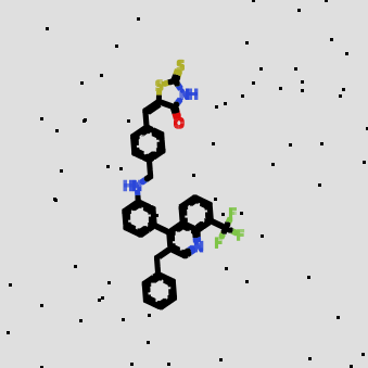 O=C1NC(=S)SC1=Cc1ccc(CNc2cccc(-c3c(Cc4ccccc4)cnc4c(C(F)(F)F)cccc34)c2)cc1